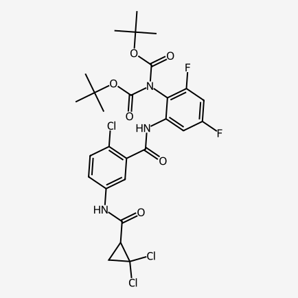 CC(C)(C)OC(=O)N(C(=O)OC(C)(C)C)c1c(F)cc(F)cc1NC(=O)c1cc(NC(=O)C2CC2(Cl)Cl)ccc1Cl